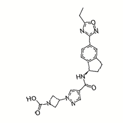 CCc1nc(-c2ccc3c(c2)CC[C@H]3NC(=O)c2cnn(C3CN(C(=O)O)C3)c2)no1